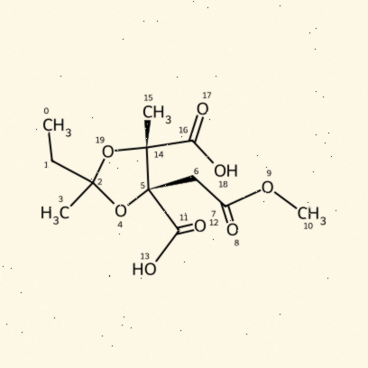 CCC1(C)O[C@@](CC(=O)OC)(C(=O)O)[C@@](C)(C(=O)O)O1